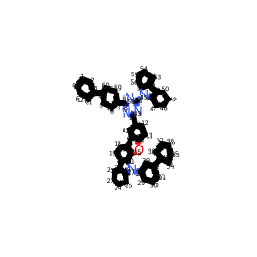 c1ccc(-c2ccc(-c3nc(-c4ccc5oc6c(ccc7c8ccccc8n(-c8cccc(-c9ccccc9)c8)c76)c5c4)nc(-n4c5ccccc5c5ccccc54)n3)cc2)cc1